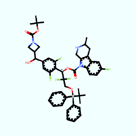 CC1Cc2c(n(C(=O)O[C@H](c3c(F)cc(C(O)C4CN(C(=O)OC(C)(C)C)C4)cc3F)C(F)(F)CO[Si](c3ccccc3)(c3ccccc3)C(C)(C)C)c3ccc(F)cc23)CN1